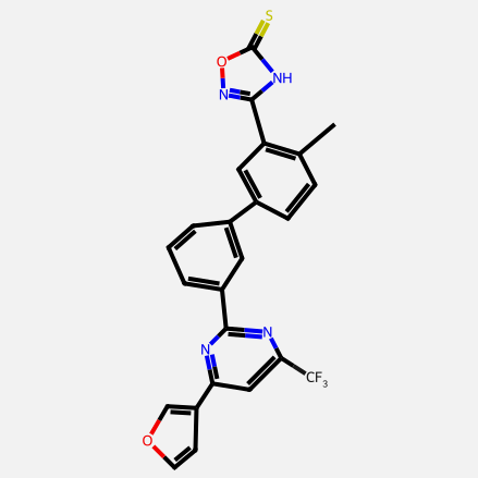 Cc1ccc(-c2cccc(-c3nc(-c4ccoc4)cc(C(F)(F)F)n3)c2)cc1-c1noc(=S)[nH]1